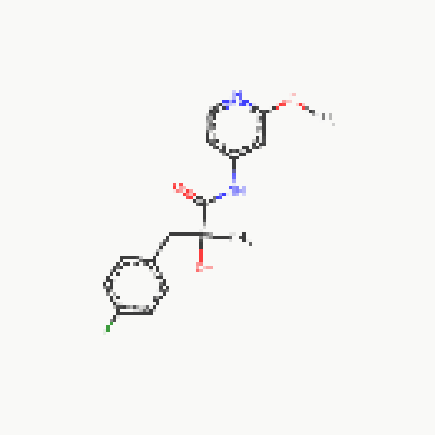 COc1cc(NC(=O)C(C)(O)Cc2ccc(F)cc2)ccn1